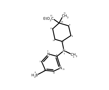 Bc1cnc(N(C)C2CCC(C)(C(=O)OCC)CC2)nc1